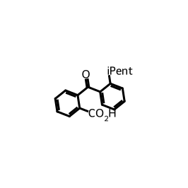 CCCC(C)c1ccccc1C(=O)c1ccccc1C(=O)O